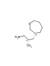 C[C@H](CN)C[C@H]1CCCCOC1